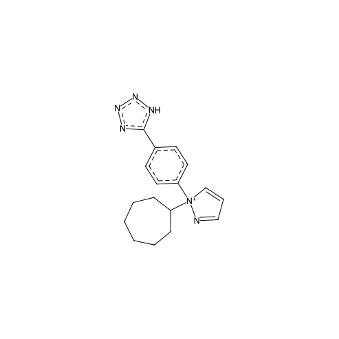 C1=C[N+](c2ccc(-c3nnn[nH]3)cc2)(C2CCCCCC2)N=C1